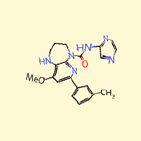 COc1cc(-c2cccc(C)c2)nc2c1NCCCN2C(=O)Nc1cnccn1